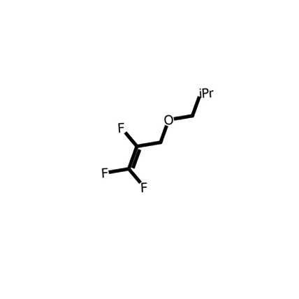 CC(C)COCC(F)=C(F)F